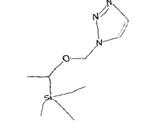 CC(OCn1ccnn1)[Si](C)(C)C